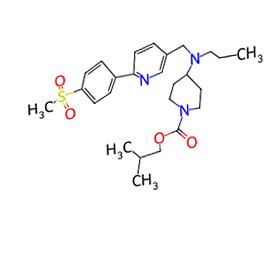 CCCN(Cc1ccc(-c2ccc(S(C)(=O)=O)cc2)nc1)C1CCN(C(=O)OCC(C)C)CC1